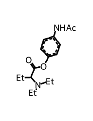 CCC(C(=O)Oc1ccc(NC(C)=O)cc1)N(CC)CC